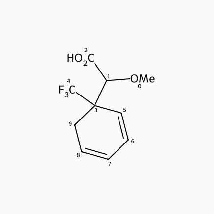 COC(C(=O)O)C1(C(F)(F)F)C=CC=CC1